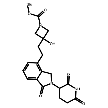 CC(C)(C)OC(=O)N1CC(O)(CCc2cccc3c2CN(C2CCC(=O)NC2=O)C3=O)C1